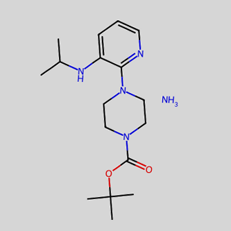 CC(C)Nc1cccnc1N1CCN(C(=O)OC(C)(C)C)CC1.N